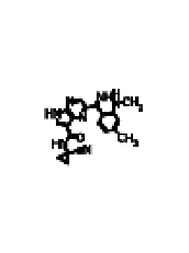 CNc1cc(C)ccc1C(=N)c1cnc2[nH]cc(C(=O)NC3(C#N)CC3)c2n1